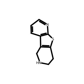 [c]1ccnc2sc3c(c12)CNCC3